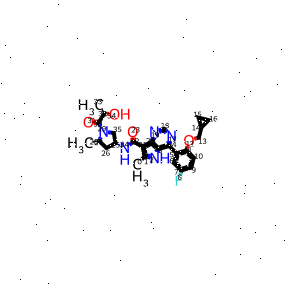 Cc1[nH]c2c(-c3cc(F)ccc3OCC3CC3)ncnc2c1C(=O)N[C@@H]1C[C@H](C)N(C(=O)[C@H](C)O)C1